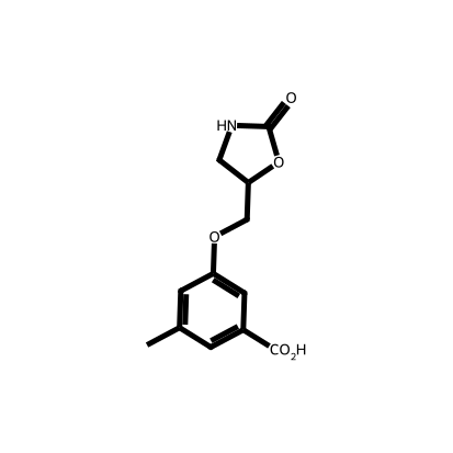 Cc1cc(OCC2CNC(=O)O2)cc(C(=O)O)c1